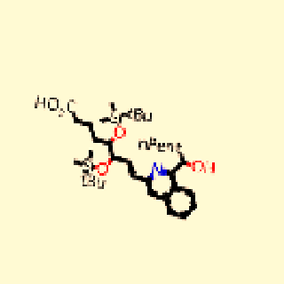 CCCCCC(O)c1nc(C=CC(O[Si](C)(C)C(C)(C)C)C(CCCC(=O)O)O[Si](C)(C)C(C)(C)C)cc2ccccc12